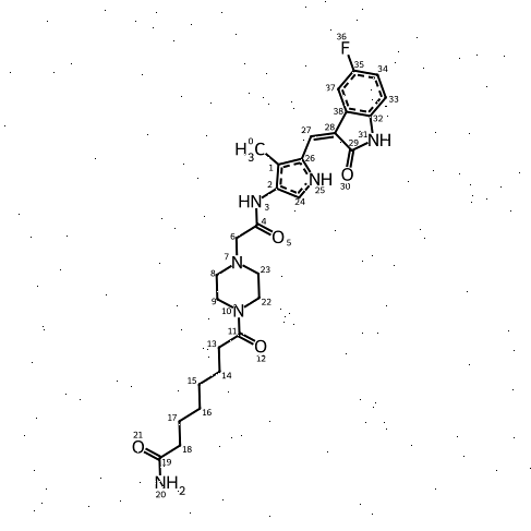 Cc1c(NC(=O)CN2CCN(C(=O)CCCCCCC(N)=O)CC2)c[nH]c1C=C1C(=O)Nc2ccc(F)cc21